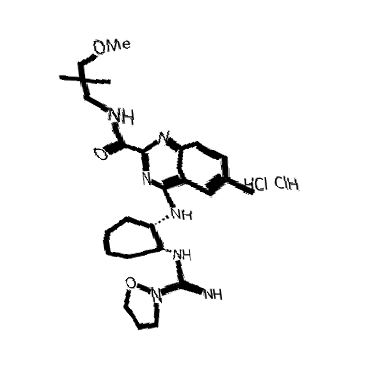 COCC(C)(C)CNC(=O)c1nc(N[C@H]2CCCC[C@H]2NC(=N)N2CCCO2)c2cc(C)ccc2n1.Cl.Cl